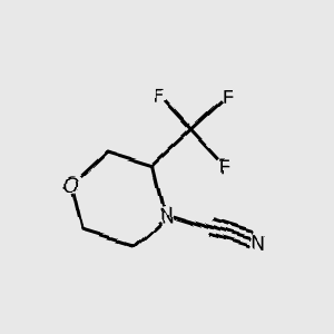 N#CN1CCOCC1C(F)(F)F